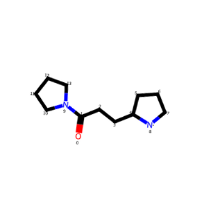 O=C(CCC1CCC[N]1)N1CCCC1